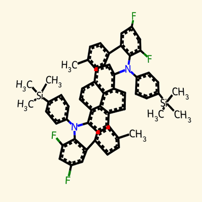 Cc1ccc(-c2cc(F)cc(F)c2N(c2ccc([Si](C)(C)C)cc2)c2ccc3ccc4c(N(c5ccc([Si](C)(C)C)cc5)c5c(F)cc(F)cc5-c5ccc(C)cc5)ccc5ccc2c3c54)cc1